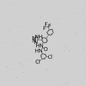 O=C(Nc1cc(Cl)cc(Cl)c1)Nc1ccc(-c2cccc(C(F)(F)F)c2)cc1-c1nnn[nH]1